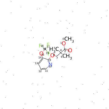 COC(=O)C(C)(C)COc1ncccc1OC(F)(F)F